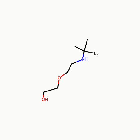 CCC(C)(C)NCCOCCO